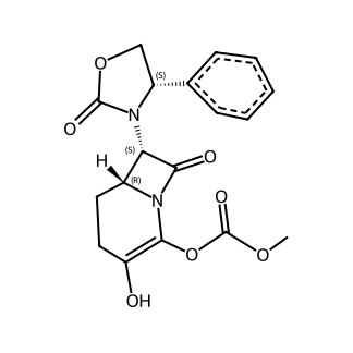 COC(=O)OC1=C(O)CC[C@@H]2[C@H](N3C(=O)OC[C@@H]3c3ccccc3)C(=O)N12